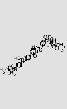 CC(C)(C)OC(=O)NC(C)(C)C(=O)N1CCN(C(=O)Nc2ccn(C3CCC(CN(C(=O)O)[C@H]4CC[C@H](NC(=O)OC(C)(C)C)CC4)CC3)c(=O)n2)CC1